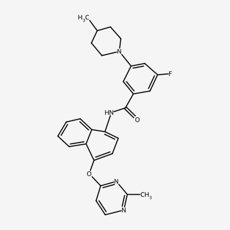 Cc1nccc(Oc2ccc(NC(=O)c3cc(F)cc(N4CCC(C)CC4)c3)c3ccccc23)n1